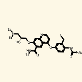 CCNC(=O)c1cc2c(Oc3ccc(NC(=O)NC)c(CI)c3)ccnc2cc1OC[C@H](O)CN(CC)CC